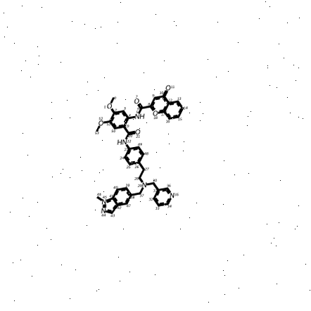 COc1cc(NC(=O)c2cc(=O)c3ccccc3o2)c(C(=O)Nc2ccc(CCN(Cc3cccnc3)Cc3ccc4c(cnn4C)c3)cc2)cc1OC